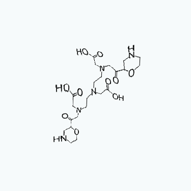 O=C(O)CN(CCN(CC(=O)O)CC(=O)C1CNCCO1)CCN(CC(=O)O)CC(=O)C1CNCCO1